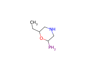 CCC1CNCC(P)O1